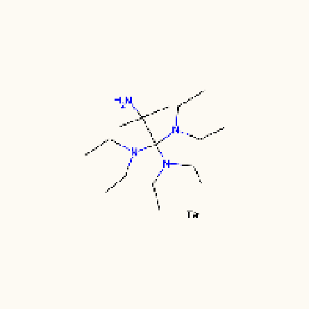 CCN(CC)C(N(CC)CC)(N(CC)CC)C(C)(C)N.[Ta]